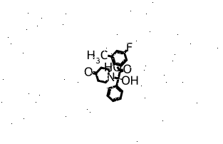 Cc1cc(F)ccc1[C@H]1CC(=O)CCN1[C@@](O)(C(=O)O)c1ccccc1